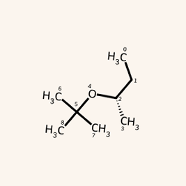 CC[C@H](C)OC(C)(C)C